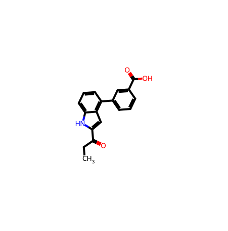 CCC(=O)c1cc2c(-c3cccc(C(=O)O)c3)cccc2[nH]1